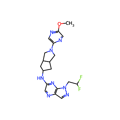 COc1cnc(N2CC3CC(Nc4cnc5cnn(CC(F)F)c5n4)CC3C2)cn1